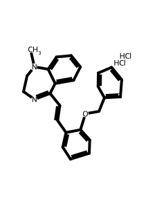 CN1CCN=C(C=Cc2ccccc2OCc2ccccc2)c2ccccc21.Cl.Cl